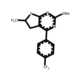 CSc1nc2c(c(-c3ccc(C(F)(F)F)cc3)n1)CC(C)S2